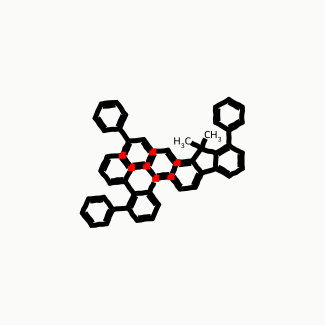 CC1(C)c2cc(N(c3ccc(-c4ccccc4)cc3)c3cccc(-c4ccccc4)c3-c3ccccc3-c3ccccc3)ccc2-c2cccc(-c3ccccc3)c21